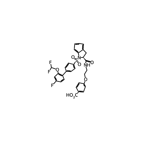 O=C(O)c1ccc(OCCNC(=O)[C@@H]2Cc3ccccc3N2S(=O)(=O)c2ccc(-c3ccc(F)cc3OC(F)F)cc2)cc1